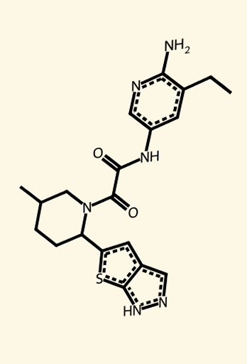 CCc1cc(NC(=O)C(=O)N2CC(C)CCC2c2cc3cn[nH]c3s2)cnc1N